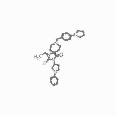 CCN1C(=O)N(C2CCN(c3ccccc3)C2)C(=O)C12CCN(Cc1ccc(N3CCCC3)cc1)CC2